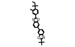 CCC(C)(C)c1ccc(-c2nc3ccc(-c4ccc5nc(C(C)(C)C)oc5c4)cc3o2)cc1C